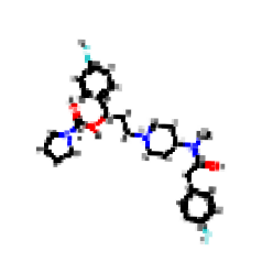 CCN(C(=O)Cc1ccc(F)cc1)C1CCN(CCC(OC(=O)N2CCCC2)c2ccc(F)cc2)CC1